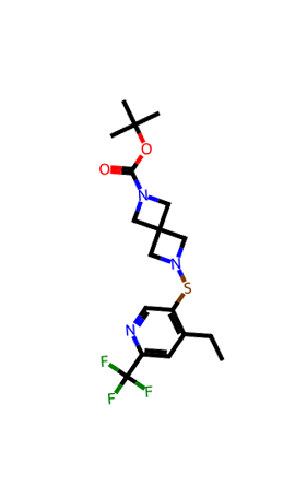 CCc1cc(C(F)(F)F)ncc1SN1CC2(C1)CN(C(=O)OC(C)(C)C)C2